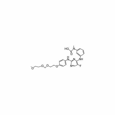 COCCOCOCCOc1ccc(Nc2ncc(F)c(Nc3cccc(N(C)C(=O)O)c3)n2)cc1